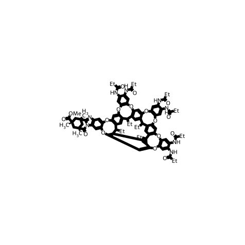 CCC(=O)Nc1cc2c(cc1NC(=O)CC)Oc1cc3c4cc1C(CC)c1cc5c(cc1O2)Oc1cc(NC(=O)CC)c(NC(=O)CC)cc1Oc1cc2c(cc1C5CC)C(CC)c1cc(c(cc1Oc1cc5c(cc1O2)nc1n5C(=O)[C@@]2(C)CC1(C)C[C@@](C)(C(=O)OC)C2)Oc1cc(NC(=O)CC)c(NC(=O)CC)cc1O3)C4CC